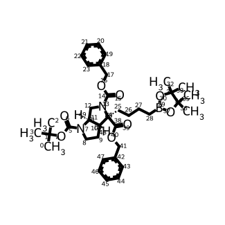 CC(C)(C)OC(=O)N1CC[C@H]2[C@@H]1CN(C(=O)OCc1ccccc1)[C@@]2(CCCCB1OC(C)(C)C(C)(C)O1)C(=O)OCc1ccccc1